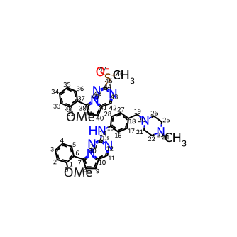 COc1ccccc1-c1ccc2cnc(Nc3ccc(CN4CCN(C)CC4)cc3)nn12.COc1ccccc1-c1ccc2cnc([S+](C)[O-])nn12